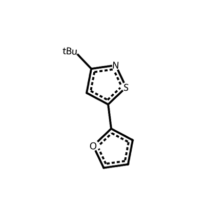 CC(C)(C)c1cc(-c2ccco2)sn1